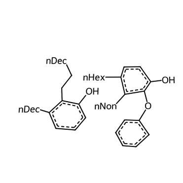 CCCCCCCCCCCCc1c(O)cccc1CCCCCCCCCC.CCCCCCCCCc1c(CCCCCC)ccc(O)c1Oc1ccccc1